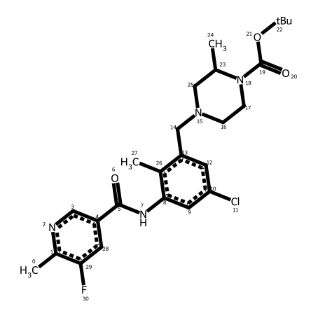 Cc1ncc(C(=O)Nc2cc(Cl)cc(CN3CCN(C(=O)OC(C)(C)C)C(C)C3)c2C)cc1F